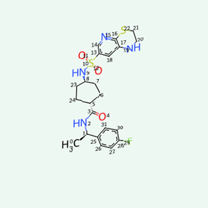 C[C@@H](NC(=O)[C@H]1CC[C@H](NS(=O)(=O)c2cnc3c(c2)NCCS3)CC1)c1ccc(F)cc1